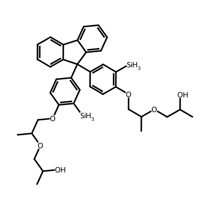 CC(O)COC(C)COc1ccc(C2(c3ccc(OCC(C)OCC(C)O)c([SiH3])c3)c3ccccc3-c3ccccc32)cc1[SiH3]